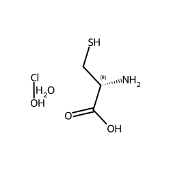 N[C@@H](CS)C(=O)O.O.OCl